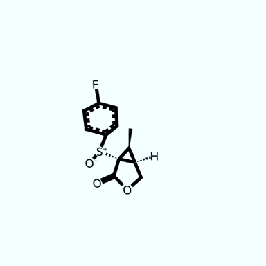 C[C@H]1[C@H]2COC(=O)[C@]21[S+]([O-])c1ccc(F)cc1